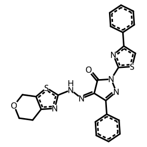 O=C1/C(=N\Nc2nc3c(s2)COCC3)C(c2ccccc2)=NN1c1nc(-c2ccccc2)cs1